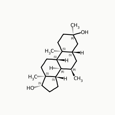 C[C@@H]1C[C@H]2C[C@](C)(O)CC[C@]2(C)[C@H]2CC[C@]3(C)[C@@H](O)CC[C@H]3[C@H]12